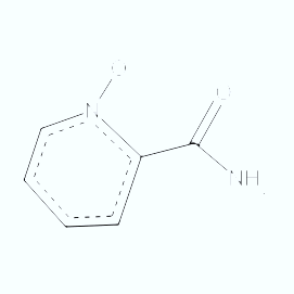 NC(=O)c1c[c]cc[n+]1[O-]